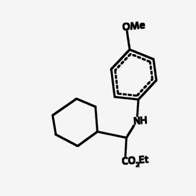 CCOC(=O)C(Nc1ccc(OC)cc1)C1CCCCC1